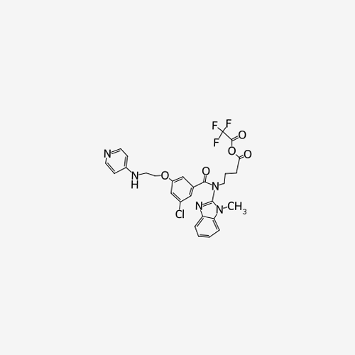 Cn1c(N(CCCC(=O)OC(=O)C(F)(F)F)C(=O)c2cc(Cl)cc(OCCNc3ccncc3)c2)nc2ccccc21